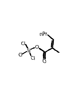 CCCC=C(C)C(=O)O[Si](Cl)(Cl)Cl